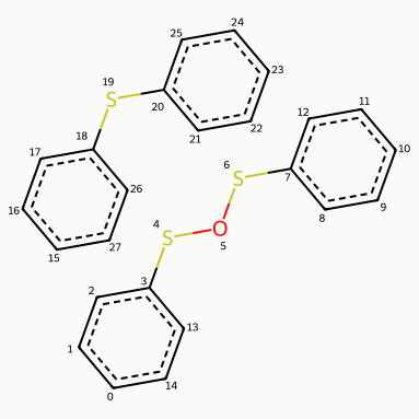 c1ccc(SOSc2ccccc2)cc1.c1ccc(Sc2ccccc2)cc1